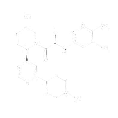 Cc1cc(NC(=O)C(=O)N2C[C@@H](C)CC[C@@H]2c2cccc(C3CCN(C)CC3)c2)cnc1N